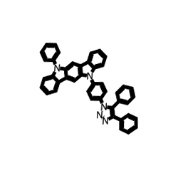 c1ccc(-c2nnn(-c3ccc(-n4c5ccccc5c5cc6c(cc54)c4ccccc4n6-c4ccccc4)cc3)c2-c2ccccc2)cc1